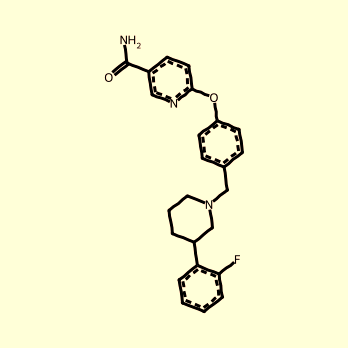 NC(=O)c1ccc(Oc2ccc(CN3CCCC(c4ccccc4F)C3)cc2)nc1